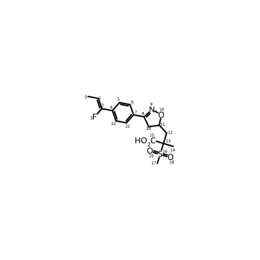 CC=C(F)c1ccc(C2=NOC(CC(C)(C(=O)O)S(C)(=O)=O)C2)cc1